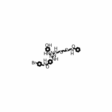 O=C(NCCOCCOCCNc1nc(Nc2ccc(O)cc2)nc(Nc2ccc(C(=O)NCc3ccc(Br)cc3)cc2)n1)c1ccccc1